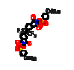 COc1ccc(S(=O)(=O)ON2C(=O)c3ccc(C(c4ccc5c(c4)C(=O)N(OS(=O)(=O)c4ccc(OC)cc4)C5=O)(C(F)(F)F)C(F)(F)F)cc3C2=O)cc1